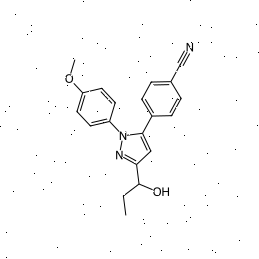 CCC(O)c1cc(-c2ccc(C#N)cc2)n(-c2ccc(OC)cc2)n1